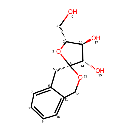 OC[C@H]1O[C@@]2(Cc3ccccc3CO2)[C@@H](O)[C@@H]1O